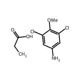 CCC(=O)O.COc1c(Cl)cc(N)cc1Cl